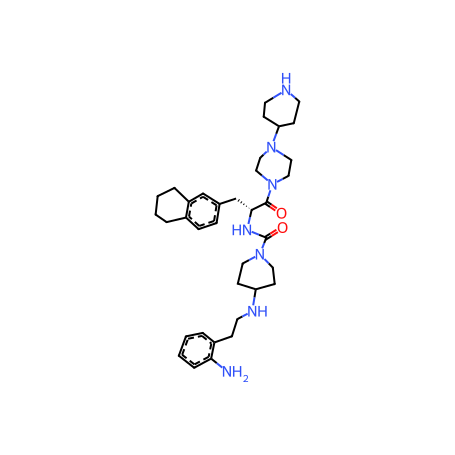 Nc1ccccc1CCNC1CCN(C(=O)N[C@H](Cc2ccc3c(c2)CCCC3)C(=O)N2CCN(C3CCNCC3)CC2)CC1